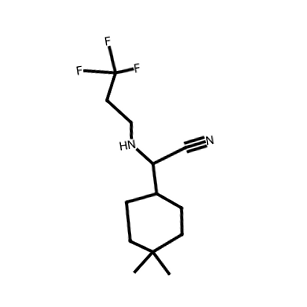 CC1(C)CCC(C(C#N)NCCC(F)(F)F)CC1